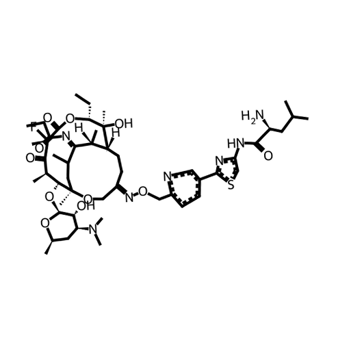 CCC(=O)/N=C1\C(C)C[C@@]2(C)OC/C(=N/OCc3ccc(-c4nc(NC(=O)[C@@H](N)CC(C)C)cs4)cn3)CC[C@H]([C@H]1C)[C@](C)(O)[C@@H](CC)OC(=O)[C@@](C)(F)C(=O)[C@H](C)[C@H]2O[C@@H]1O[C@H](C)C[C@H](N(C)C)[C@H]1O